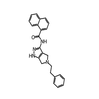 O=C(Nc1n[nH]c2c1CN(CCc1ccccc1)C2)c1cccc2ccccc12